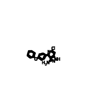 Nc1n[nH]c2cc(Cl)nc(-c3ccc(Oc4ccccc4)cc3)c12